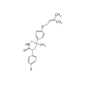 CC(C)=CCOc1ccc(C2(C)CNC(=O)C(c3ccc(F)cc3)C2)cc1